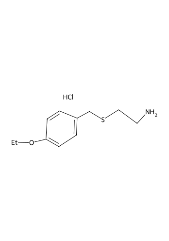 CCOc1ccc(CSCCN)cc1.Cl